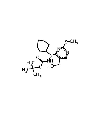 CSc1ncc(CO)c(N(NC(=O)OC(C)(C)C)C2CCCCC2)n1